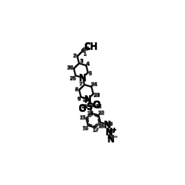 C#CCC1CCN(C2CCN(S(=O)(=O)c3cccc(N=[N+]=[N-])c3)CC2)CC1